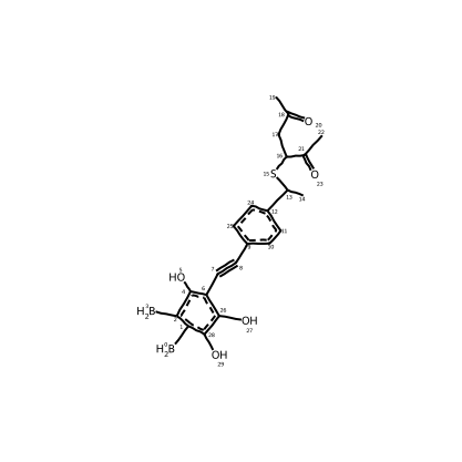 Bc1c(B)c(O)c(C#Cc2ccc(C(C)SC(CC(C)=O)C(C)=O)cc2)c(O)c1O